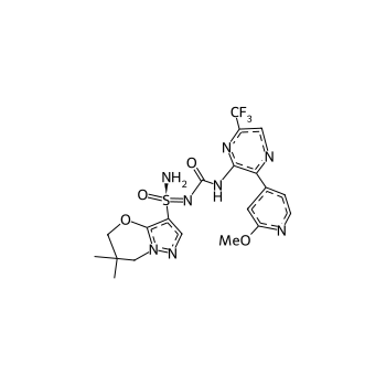 COc1cc(-c2ncc(C(F)(F)F)nc2NC(=O)N=[S@@](N)(=O)c2cnn3c2OCC(C)(C)C3)ccn1